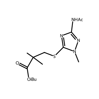 CC(=O)Nc1nc(SCC(C)(C)C(=O)OCC(C)C)n(C)n1